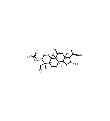 CNC(C)[C@H]1[C@H](O)C[C@@]2(C)C3CCC4C5(CC[C@H](NC(=O)C(C)C)[C@@]4(C)CO)CC35C(=O)C[C@]12C